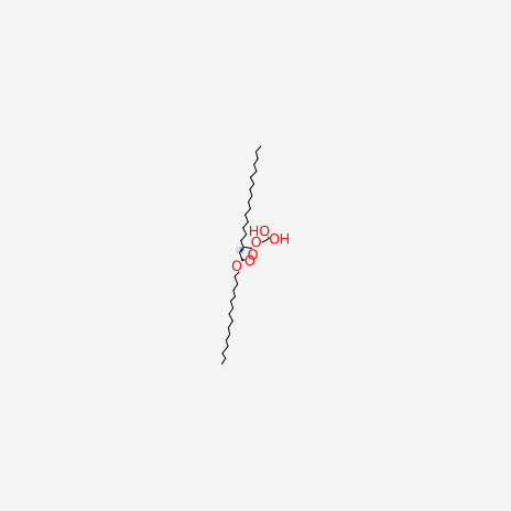 CCCCCCCCCCCCCCCCOC(=O)/C=C(/CCCCCCCCCCCCCCCC)C(=O)OCC(O)O